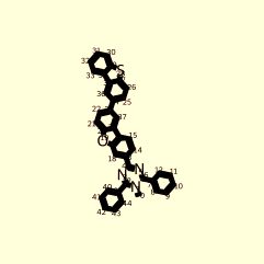 C=N/C(=N\C(=N/Cc1ccccc1)c1ccc2c(c1)oc1ccc(-c3ccc4sc5ccccc5c4c3)cc12)c1ccccc1